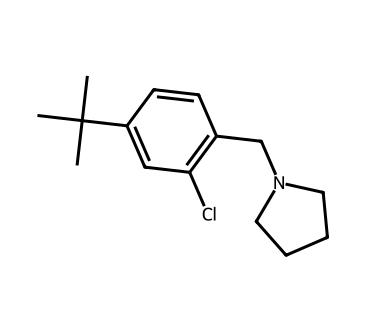 CC(C)(C)c1ccc(CN2CCCC2)c(Cl)c1